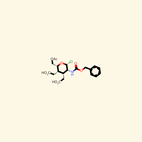 CC(=O)OC[C@@H]1O[C@H](Cl)[C@H](NC(=O)OCc2ccccc2)[C@H](CC(=O)O)[C@@H]1CC(=O)O